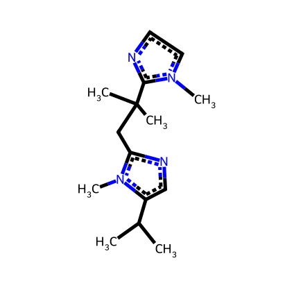 CC(C)c1cnc(CC(C)(C)c2nccn2C)n1C